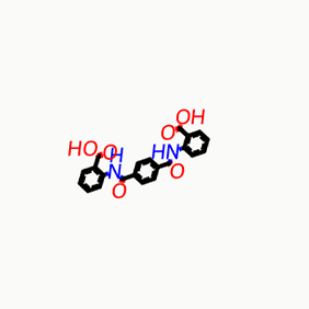 O=C(Nc1ccccc1C(=O)O)c1ccc(C(=O)Nc2ccccc2C(=O)O)cc1